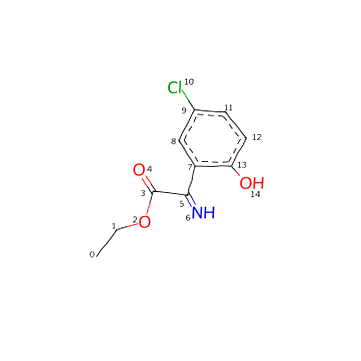 CCOC(=O)C(=N)c1cc(Cl)ccc1O